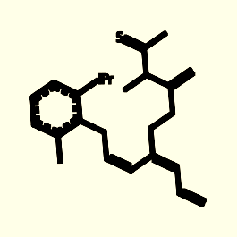 C=C/C=C(\C=C/Cc1c(C)cccc1C(C)C)CCC(=C)C(C)C(C)=S